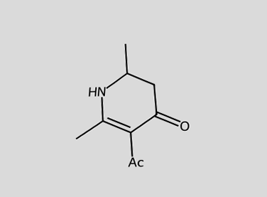 CC(=O)C1=C(C)NC(C)CC1=O